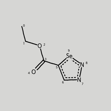 CCOC(=O)c1cnn[se]1